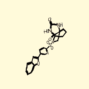 O=C1NC(=O)C2(CCCC23CN(S(=O)(=O)c2ccc(-c4cc5ccccc5o4)cn2)C3)N1